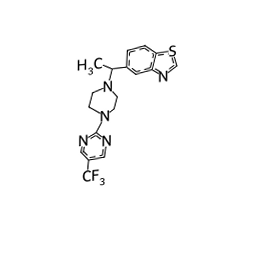 CC(c1ccc2scnc2c1)N1CCN(c2ncc(C(F)(F)F)cn2)CC1